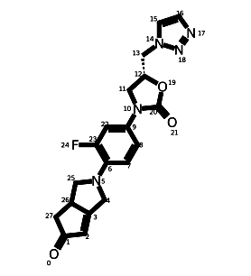 O=C1C=C2CN(c3ccc(N4C[C@H](Cn5ccnn5)OC4=O)cc3F)CC2C1